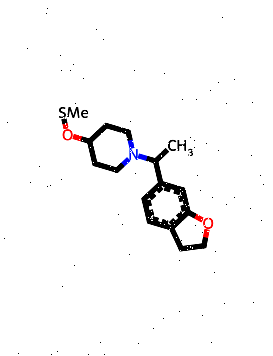 CSOC1CCN(C(C)c2ccc3c(c2)OCC3)CC1